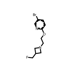 FCC1CN(CCOc2ccc(Br)cn2)C1